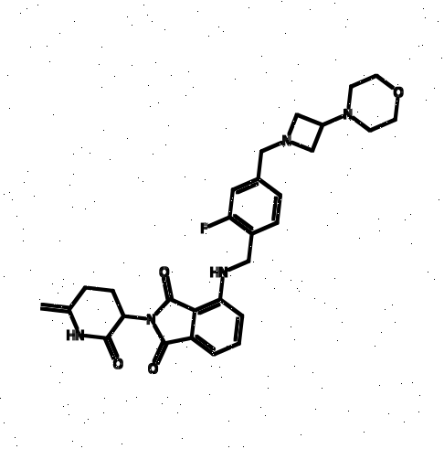 C=C1CCC(N2C(=O)c3cccc(NCc4ccc(CN5CC(N6CCOCC6)C5)cc4F)c3C2=O)C(=O)N1